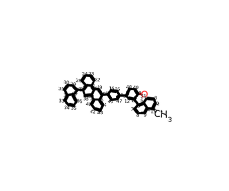 Cc1ccc2c3c(cccc13)-c1cc(-c3ccc(-c4cc5c6ccccc6c(-c6cccc7ccccc67)cc5c5ccccc45)cc3)ccc1O2